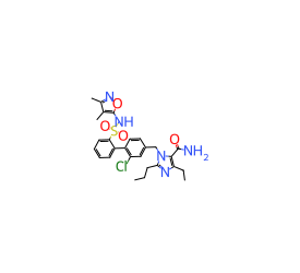 CCCc1nc(CC)c(C(N)=O)n1Cc1ccc(-c2ccccc2S(=O)(=O)Nc2onc(C)c2C)c(Cl)c1